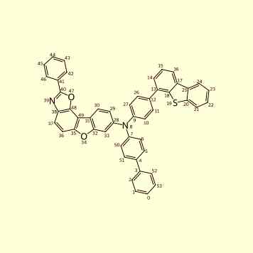 c1ccc(-c2ccc(N(c3ccc(-c4cccc5c4sc4ccccc45)cc3)c3ccc4c(c3)oc3ccc5nc(-c6ccccc6)oc5c34)cc2)cc1